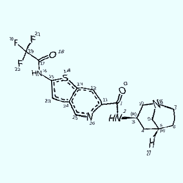 O=C(N[C@@H]1C[C@H]2CCN(C2)C1)c1cc2sc(NC(=O)C(F)(F)F)cc2cn1